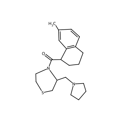 Cc1ccc2c(c1)C(C(=O)N1CCSCC1CN1CCCC1)CCC2